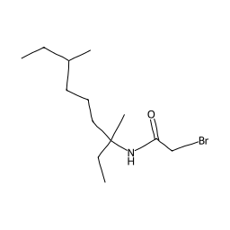 CCC(C)CCCC(C)(CC)NC(=O)CBr